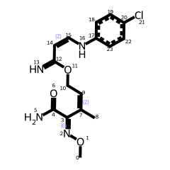 CO/N=C(C(N)=O)\C(C)=C/COC(=N)/C=C\Nc1ccc(Cl)cc1